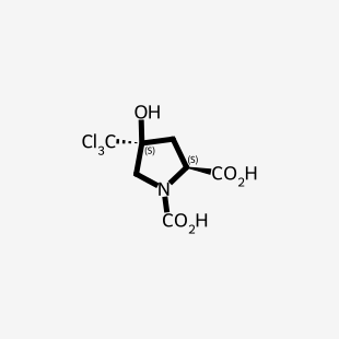 O=C(O)[C@@H]1C[C@@](O)(C(Cl)(Cl)Cl)CN1C(=O)O